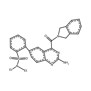 CCN(CC)S(=O)(=O)c1ccccc1-c1ccc2nc(N)nc(C(=O)N3Cc4ccccc4C3)c2c1